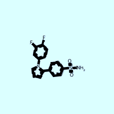 NS(=O)(=O)c1ccc(-c2cccn2-c2ccc(F)c(F)c2)cc1